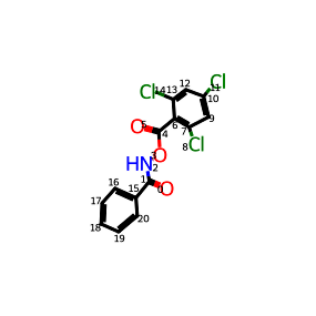 O=C(NOC(=O)c1c(Cl)cc(Cl)cc1Cl)c1ccccc1